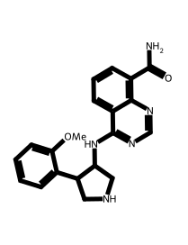 COc1ccccc1C1CNCC1Nc1ncnc2c(C(N)=O)cccc12